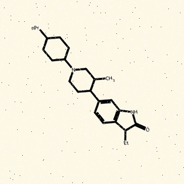 CCCC1CCC(N2CCC(c3ccc4c(c3)NC(=O)C4CC)C(C)C2)CC1